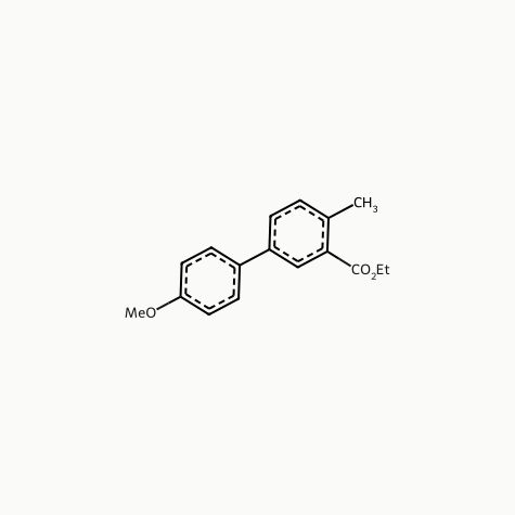 CCOC(=O)c1cc(-c2ccc(OC)cc2)ccc1C